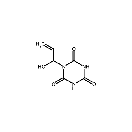 C=CC(O)n1c(=O)[nH]c(=O)[nH]c1=O